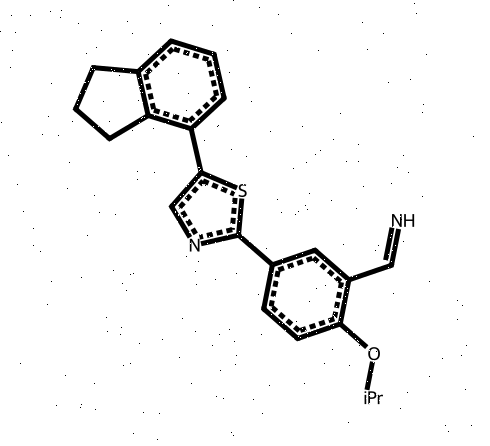 CC(C)Oc1ccc(-c2ncc(-c3cccc4c3CCC4)s2)cc1C=N